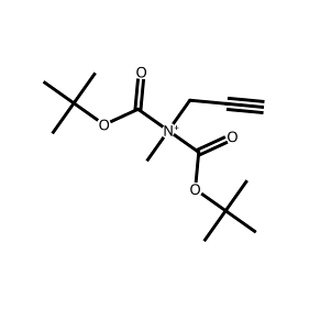 C#CC[N+](C)(C(=O)OC(C)(C)C)C(=O)OC(C)(C)C